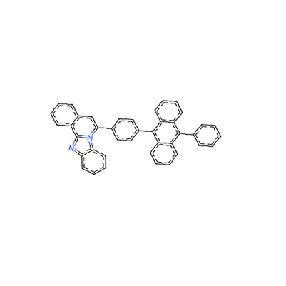 c1ccc(-c2c3ccccc3c(-c3ccc(-c4cc5ccccc5c5nc6ccccc6n45)cc3)c3ccccc23)cc1